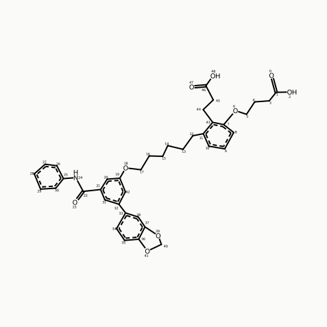 O=C(O)CCCOc1cccc(CCCCCCOc2cc(C(=O)Nc3ccccc3)cc(-c3ccc4c(c3)OCO4)c2)c1CCC(=O)O